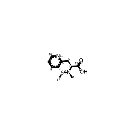 CN(SI)[C@@H](Cc1ccccn1)C(=O)O